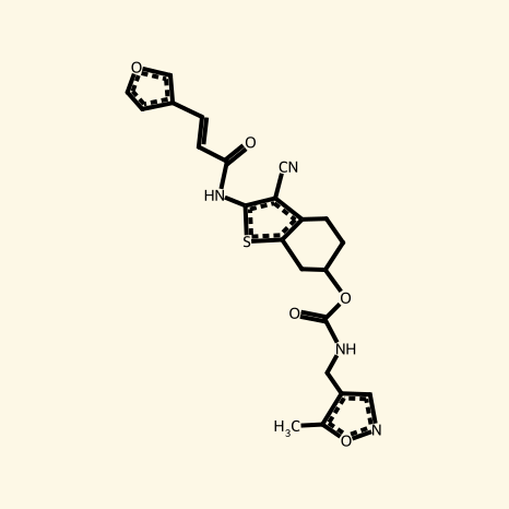 Cc1oncc1CNC(=O)OC1CCc2c(sc(NC(=O)C=Cc3ccoc3)c2C#N)C1